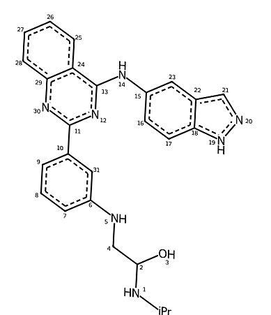 CC(C)NC(O)CNc1cccc(-c2nc(Nc3ccc4[nH]ncc4c3)c3ccccc3n2)c1